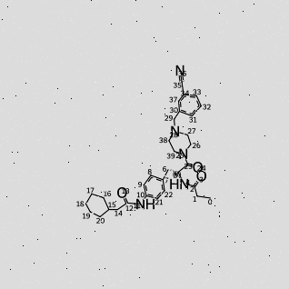 CCC(=O)N[C@H](Cc1ccc(NC(=O)CC2CCCCC2)cc1)C(=O)N1CCN(Cc2cccc(C#N)c2)CC1